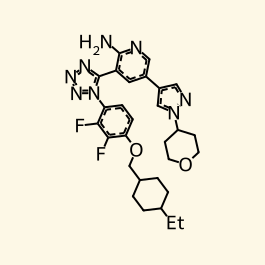 CCC1CCC(COc2ccc(-n3nnnc3-c3cc(-c4cnn(C5CCOCC5)c4)cnc3N)c(F)c2F)CC1